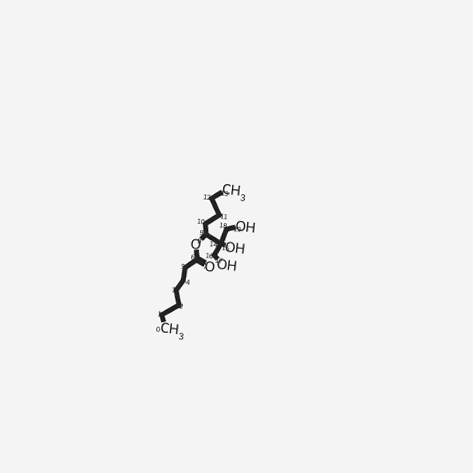 CCCCCCC(=O)OC(CCCC)C(O)(CO)CO